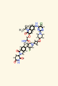 CNC(=O)COc1cc2cc(Nc3nc(N4CCC(OC5CC(N6CC[C@@H](c7ccc8c(c7)CN([C@@H]7CCC(=O)NC7=O)C8=O)[C@@H](F)C6)C5)CC4)ncc3Cl)ccc2n(C(C)C)c1=O